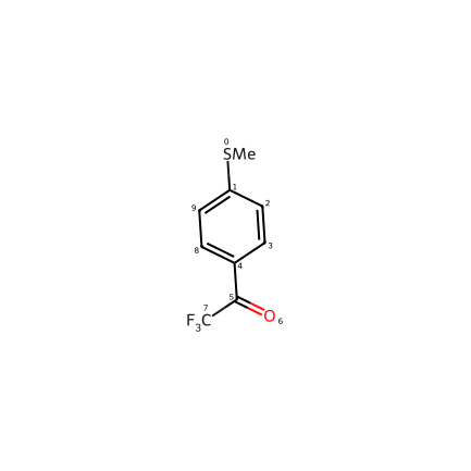 CSc1ccc(C(=O)C(F)(F)F)cc1